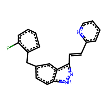 Fc1ccccc1Cc1ccc2[nH]nc(C=Cc3ccccn3)c2c1